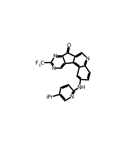 CC(C)c1ccc(Nc2ccc3ncc4c(c3c2)-c2cnc(C(F)(F)F)nc2C4=O)nc1